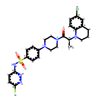 C[C@@H](C(=O)N1CCN(c2ccc(S(=O)(=O)Nc3ccc(F)nn3)cc2)CC1)N1CCCc2cc(Cl)ccc21